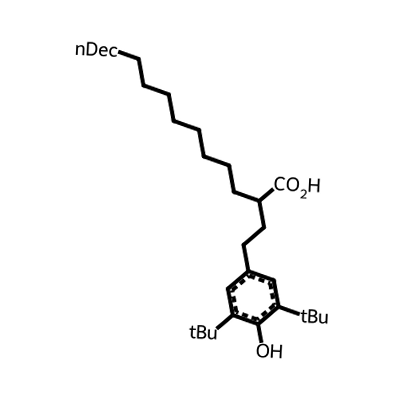 CCCCCCCCCCCCCCCCCCC(CCc1cc(C(C)(C)C)c(O)c(C(C)(C)C)c1)C(=O)O